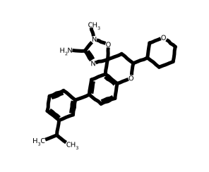 CC(C)c1cccc(-c2ccc3c(c2)C2(CC(C4CCCOC4)O3)N=C(N)N(C)O2)c1